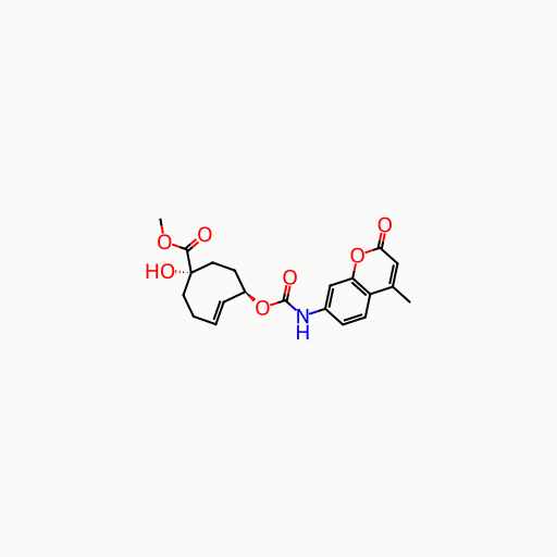 COC(=O)[C@]1(O)CC/C=C/[C@H](OC(=O)Nc2ccc3c(C)cc(=O)oc3c2)CC1